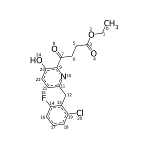 CCOC(=O)CCC(=O)c1nc(Cc2c(F)cccc2Cl)ccc1O